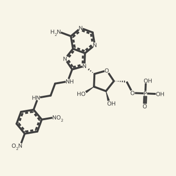 Nc1ncnc2c1nc(NCCNc1ccc([N+](=O)[O-])cc1[N+](=O)[O-])n2[C@@H]1O[C@H](COP(=O)(O)O)[C@@H](O)[C@H]1O